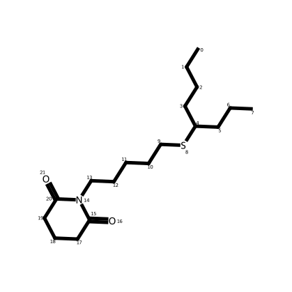 CCCCC(CCC)SCCCCCN1C(=O)CCCC1=O